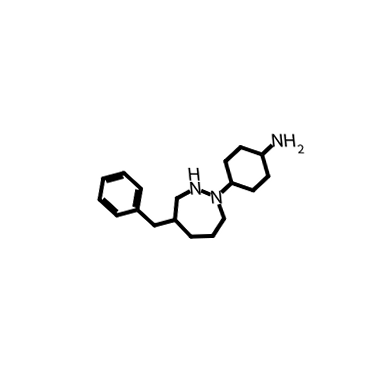 NC1CCC(N2CCCC(Cc3ccccc3)CN2)CC1